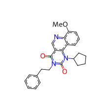 COc1cccc2c1ncc1c(=O)n(CCc3ccccc3)c(=O)n(C3CCCC3)c12